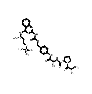 CCCC[C@@H](CCO[Si](C)(C)C(C)(C)C)Nc1nc(NC(=O)OCc2ccc(NC(=O)[C@@H](NC(=O)[C@@H]3CCCN3C(=O)[C@@H](C)N)C(C)C)cc2)nc2ccccc12